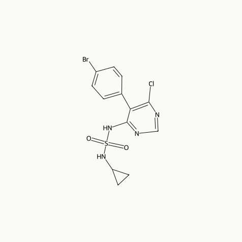 O=S(=O)(Nc1ncnc(Cl)c1-c1ccc(Br)cc1)NC1CC1